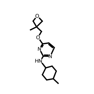 CC1CCC(Nc2nccc(OCC3(C)COC3)n2)CC1